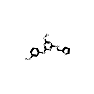 CCOc1nc(NCc2ccco2)nc(Nc2cccc(OC)c2)n1